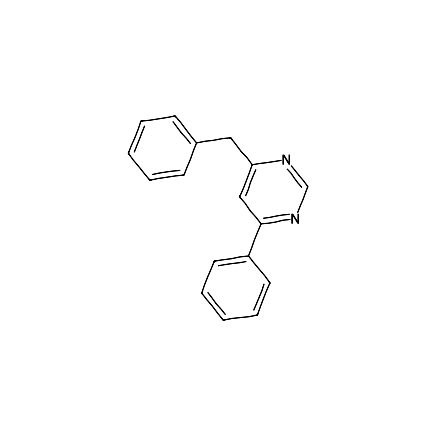 c1ccc(Cc2cc(-c3ccccc3)ncn2)cc1